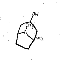 CN1C2CCC1CC(O)C2.Cl